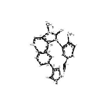 Cc1ccc(C#N)cc1-n1c(=O)n(C)c2cnc3ccc(-c4cn[nH]c4)cc3c21